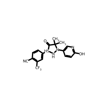 CC1(C)C(=O)[SH](c2ccc(C#N)c(C(F)(F)F)c2)NN1c1ccc(O)nc1